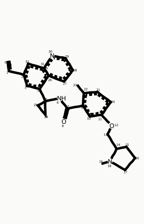 C=Cc1cc(C2(NC(=O)c3cc(OCC4CCCN4C)ccc3C)CC2)c2cccnc2c1